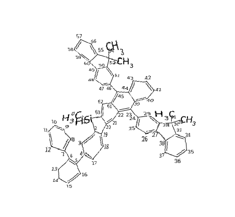 C[SiH]1c2cc(C3=C(c4ccccc4)CCC=C3)ccc2-c2cc3c(-c4ccc5c(c4)C(C)(C)c4ccccc4-5)c4ccccc4c(-c4ccc5c(c4)C(C)(C)c4ccccc4-5)c3cc21